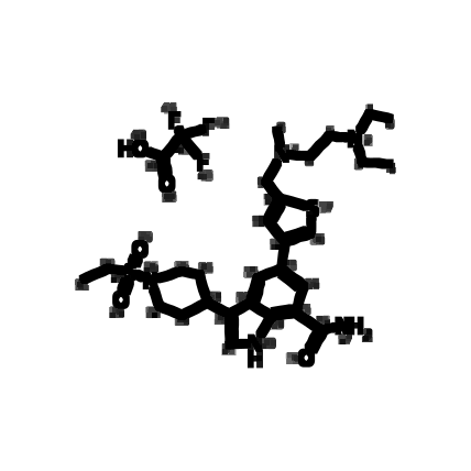 CCN(CC)CCN(C)Cc1cc(-c2cc(C(N)=O)c3[nH]cc(C4CCN(S(=O)(=O)CC)CC4)c3c2)cs1.O=C(O)C(F)(F)F